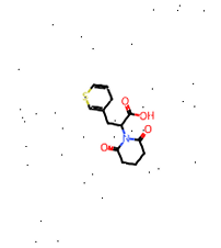 O=C(O)C(CC1=CSC=CC1)N1C(=O)CCCC1=O